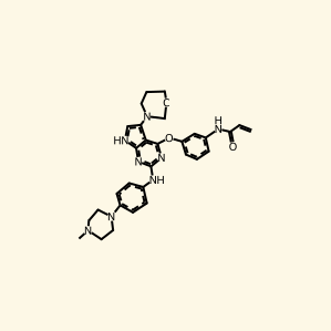 C=CC(=O)Nc1cccc(Oc2nc(Nc3ccc(N4CCN(C)CC4)cc3)nc3[nH]cc(N4CCCCC4)c23)c1